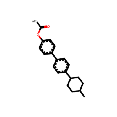 CCCC(=O)Oc1ccc(-c2ccc(C3CCC(C)CC3)cc2)cc1